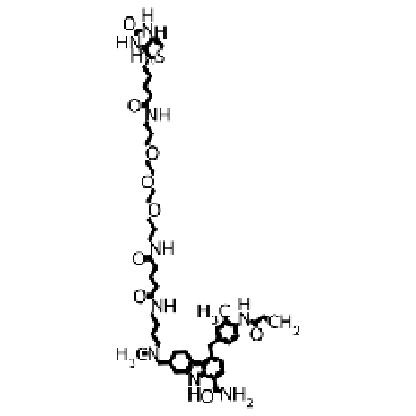 C=CC(=O)Nc1ccc(Cc2ccc(C(N)=O)c3[nH]c4c(c23)CCC(CN(C)CCCCNC(=O)CCCC(=O)NCCCOCCOCCOCCCNC(=O)CCCC[C@@H]2SC[C@@H]3NC(=O)N[C@@H]32)C4)cc1C